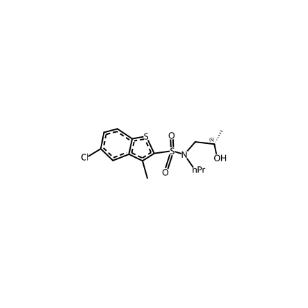 CCCN(C[C@H](C)O)S(=O)(=O)c1sc2ccc(Cl)cc2c1C